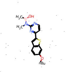 CCCCOc1ccc2cc(-c3ccnc(N(C)B(C)O)n3)sc2c1